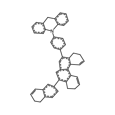 C1=Cc2cc(-c3cc4cc(-c5ccc(N6c7ccccc7Cc7ccccc76)cc5)c5c(c4c4c3CCC=C4)C=CCC5)ccc2CC1